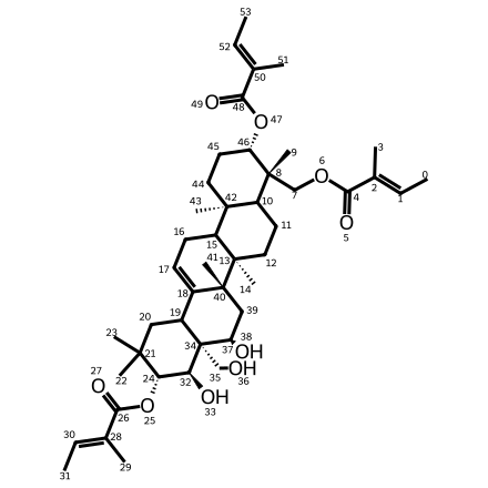 C/C=C(\C)C(=O)OC[C@]1(C)C2CC[C@]3(C)C(CC=C4C5CC(C)(C)[C@@H](OC(=O)/C(C)=C/C)[C@H](O)[C@]5(CO)[C@H](O)C[C@]43C)[C@@]2(C)CC[C@@H]1OC(=O)/C(C)=C/C